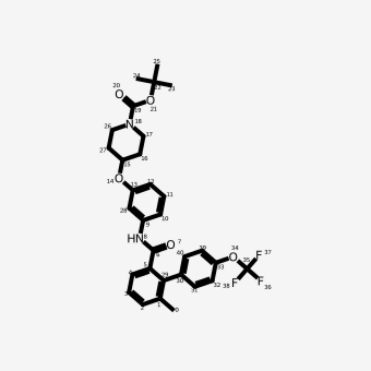 Cc1cccc(C(=O)Nc2cccc(OC3CCN(C(=O)OC(C)(C)C)CC3)c2)c1-c1ccc(OC(F)(F)F)cc1